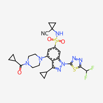 N#CC1(NS(=O)(=O)c2cc(N3CCN(C(=O)C4CC4)CC3)c3c(C4CC4)nn(-c4nnc(C(F)F)s4)c3c2)CC1